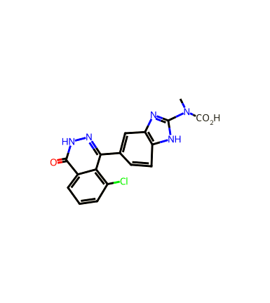 CN(C(=O)O)c1nc2cc(-c3n[nH]c(=O)c4cccc(Cl)c34)ccc2[nH]1